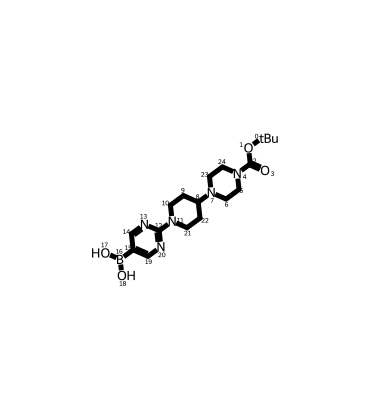 CC(C)(C)OC(=O)N1CCN(C2CCN(c3ncc(B(O)O)cn3)CC2)CC1